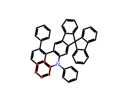 c1ccc(-c2ccc3c(c2-c2cc4c(cc2N(c2ccccc2)c2ccccc2)C2(c5ccccc5-c5ccccc52)c2ccccc2-4)CCCC3)cc1